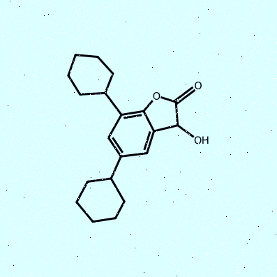 O=C1Oc2c(C3CCCCC3)cc(C3CCCCC3)cc2C1O